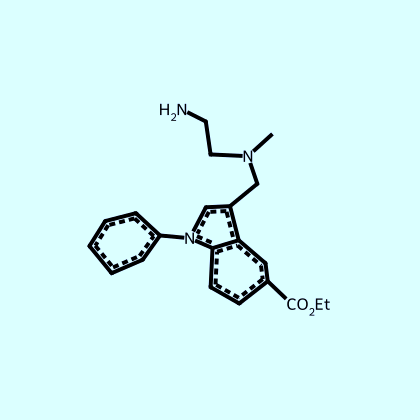 CCOC(=O)c1ccc2c(c1)c(CN(C)CCN)cn2-c1ccccc1